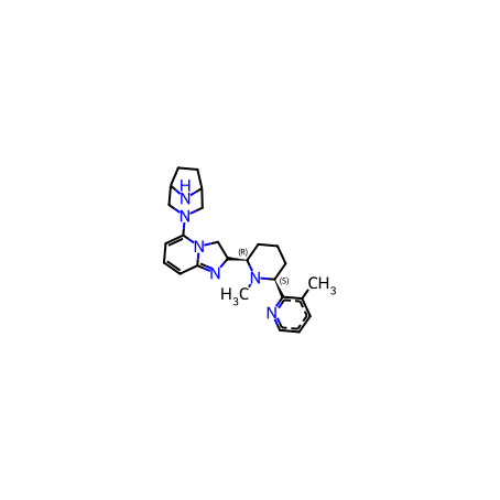 Cc1cccnc1[C@@H]1CCC[C@H](C2CN3C(N4CC5CCC(C4)N5)=CC=CC3=N2)N1C